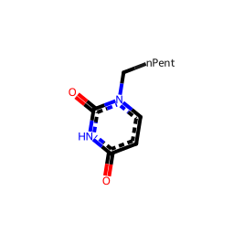 CCCCCCn1ccc(=O)[nH]c1=O